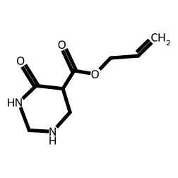 C=CCOC(=O)C1CNCNC1=O